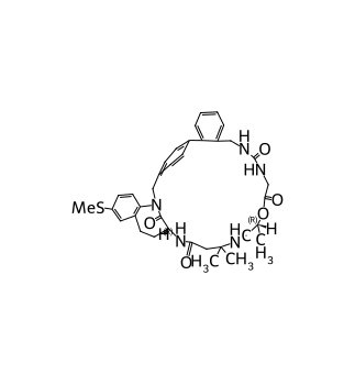 CSc1ccc2c(c1)CC[C@H]1NC(=O)CC(C)(C)NC[C@@H](C)OC(=O)CNC(=O)NCc3ccccc3-c3ccc(cc3)CN2C1=O